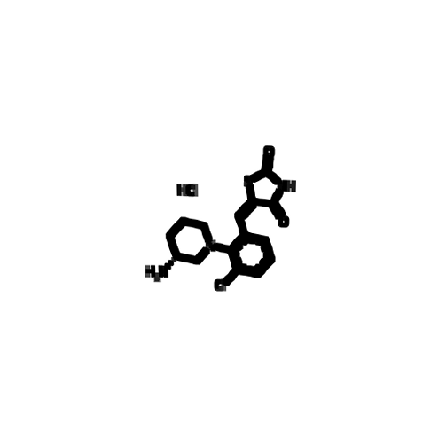 Cl.N[C@@H]1CCCN(c2c(Cl)cccc2C=C2SC(=O)NC2=O)C1